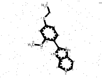 CCSc1ccc(-c2nc3cnccc3[nH]2)c(OC)c1